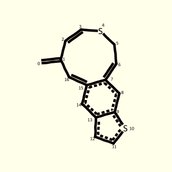 C=C1/C=C\SC/C=c2/cc3sccc3c/c2=C/1